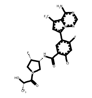 Nc1ncnn2c(-c3cc(C(=O)N[C@@H]4CN(C(=O)[C@@H](O)C(F)(F)F)C[C@@H]4F)c(Cl)cc3F)cc(C(F)(F)F)c12